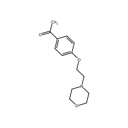 CC(=O)c1ccc(OCCN2CCOCC2)cc1